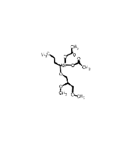 CCCC(OCC(COC)OC)[SiH](OC(C)=O)OC(C)=O